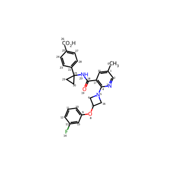 Cc1cnc(N2CC(Oc3cccc(F)c3)C2)c(C(=O)NC2(c3ccc(C(=O)O)cc3)CC2)c1